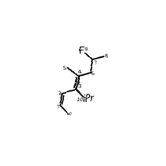 C/C=C\C(=C(/C)CC(C)F)C(C)C